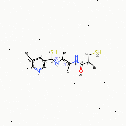 CC(/N=C(\S)c1cncc(C)c1)=C(/C)NC(=O)C(C)CS